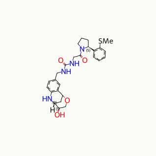 CSc1ccccc1[C@@H]1CCCN1C(=O)CNC(=O)NCc1ccc2c(c1)C1C[C@@H](N2)[C@H](O)CO1